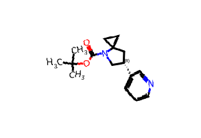 CC(C)(C)OC(=O)N1C[C@@H](c2cccnc2)CC12CC2